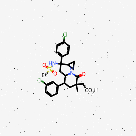 CCS(=O)(=O)NC(CC1NC(=O)C(C)(CC(=O)O)CC1c1cccc(Cl)c1)(c1ccc(Cl)cc1)C1CC1